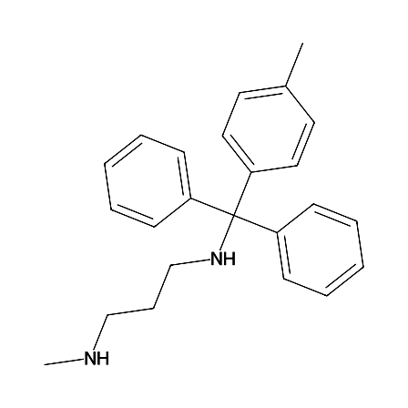 CNCCCNC(c1ccccc1)(c1ccccc1)c1ccc(C)cc1